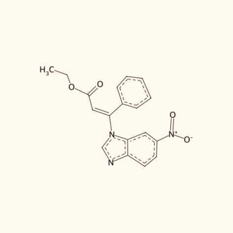 CCOC(=O)C=C(c1ccccc1)n1cnc2ccc([N+](=O)[O-])cc21